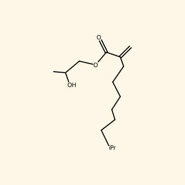 C=C(CCCCCCC(C)C)C(=O)OCC(C)O